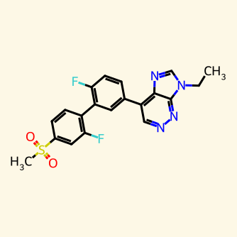 CCn1cnc2c(-c3ccc(F)c(-c4ccc(S(C)(=O)=O)cc4F)c3)cnnc21